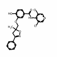 CC1(COc2cc(C(=O)Nc3c(Cl)cncc3Cl)ccc2O)CC(c2ccccc2)=NO1